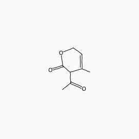 CC(=O)C1C(=O)OCC=C1C